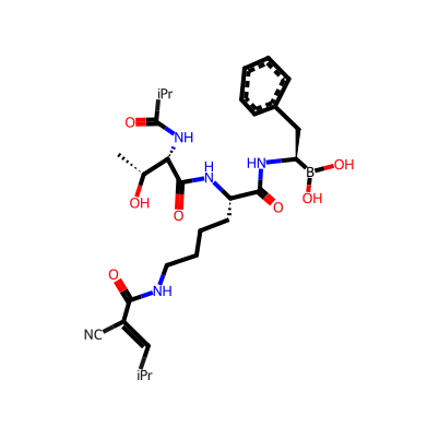 CC(C)C=C(C#N)C(=O)NCCCC[C@H](NC(=O)[C@@H](NC(=O)C(C)C)[C@@H](C)O)C(=O)N[C@@H](Cc1ccccc1)B(O)O